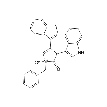 O=C1C(c2c[nH]c3ccccc23)C(c2c[nH]c3ccccc23)=C[N+]1([O-])Cc1ccccc1